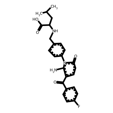 CC(C)CC(NCc1ccc(-n2c(N)c(C(=O)c3ccc(F)cc3)ccc2=O)cc1)C(=O)O